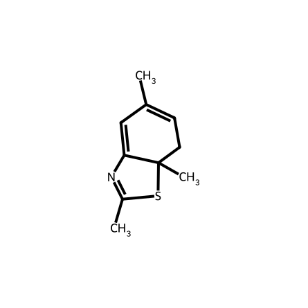 CC1=CCC2(C)SC(C)=NC2=C1